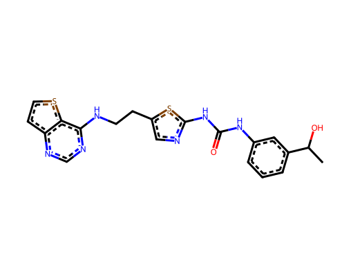 CC(O)c1cccc(NC(=O)Nc2ncc(CCNc3ncnc4ccsc34)s2)c1